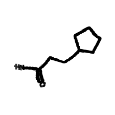 [NH]C(=O)CCC1CCCC1